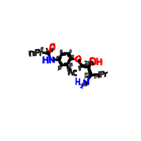 CCCC(=O)Nc1ccc(OCC(O)C(N)C(C)C)c(C(C)=O)c1